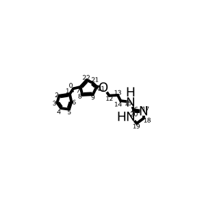 [CH](c1ccccc1)c1ccc(OCCCNC2=NCCN2)cc1